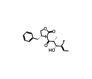 C/C=C(\F)[C@H](O)[C@@H](C)C(=O)N1C(=O)OC[C@H]1Cc1ccccc1